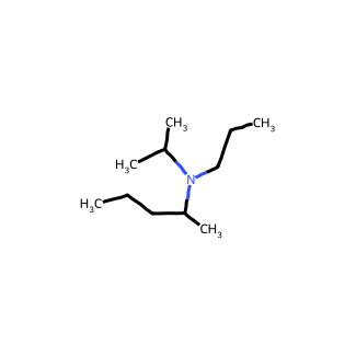 CCCC(C)N(CCC)C(C)C